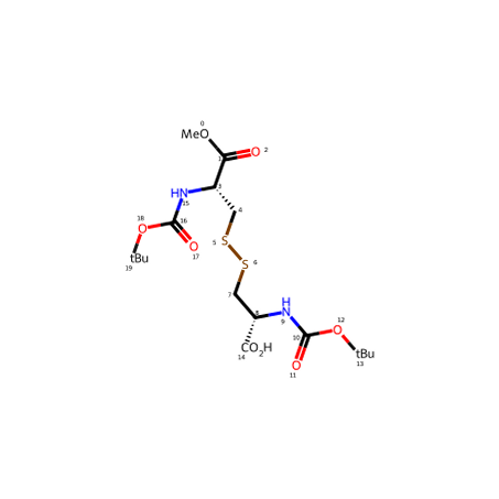 COC(=O)[C@H](CSSC[C@H](NC(=O)OC(C)(C)C)C(=O)O)NC(=O)OC(C)(C)C